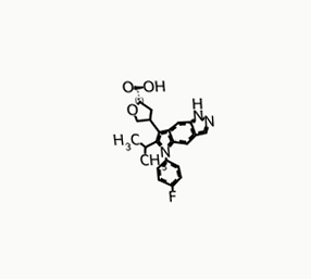 CC(C)c1c(C2CO[C@H](C(=O)O)C2)c2cc3[nH]ncc3cc2n1-c1ccc(F)cc1